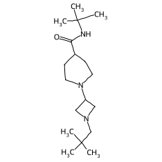 CC(C)(C)CN1CC(N2CCC(C(=O)NC(C)(C)C)CC2)C1